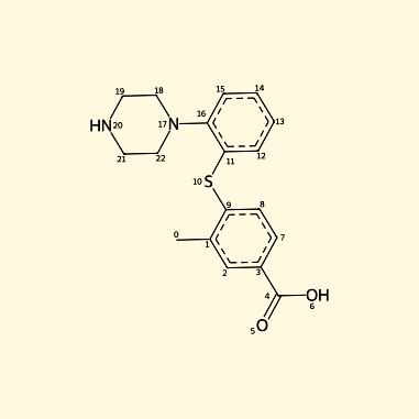 Cc1cc(C(=O)O)ccc1Sc1ccccc1N1CCNCC1